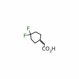 O=C(O)C=C1CCC(F)(F)CC1